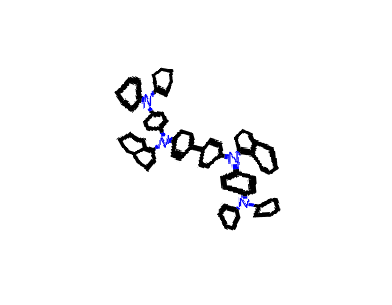 C1=CC(N(c2ccccc2)c2ccc(N(C3=c4ccccc4=CCC3)C3C=CC(C4=CCC(N(C5=CC=C(N(C6=CCCCC6)c6ccccc6)CC5)C5=C6C=CCCC6CC=C5)C=C4)CC3)cc2)=CCC1